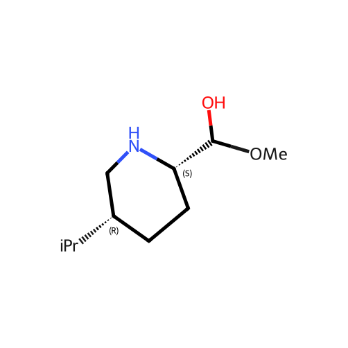 COC(O)[C@@H]1CC[C@H](C(C)C)CN1